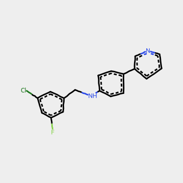 Fc1cc(Cl)cc(CNc2ccc(-c3cccnc3)cc2)c1